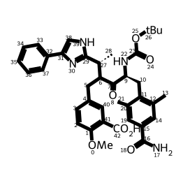 COc1ccc(CC(C(=O)[C@H](Cc2c(C)cc(C(N)=O)cc2C)NC(=O)OC(C)(C)C)[C@@H](C)c2nc(-c3ccccc3)c[nH]2)cc1C(=O)O